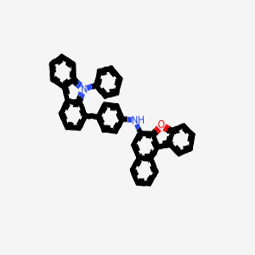 c1ccc(-n2c3ccccc3c3cccc(-c4ccc(Nc5cc6ccccc6c6c5oc5ccccc56)cc4)c32)cc1